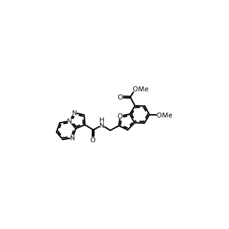 COC(=O)c1cc(OC)cc2cc(CNC(=O)c3cnn4cccnc34)oc12